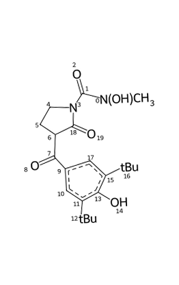 CN(O)C(=O)N1CCC(C(=O)c2cc(C(C)(C)C)c(O)c(C(C)(C)C)c2)C1=O